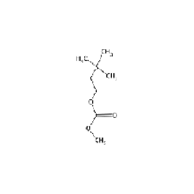 COC(=O)OCCS(C)(C)C